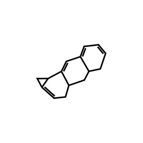 C1=CCC2CC3CC=C4CC4C3=CC2=C1